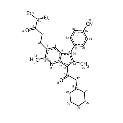 CCN(CC)C(=O)CCc1cc2c(nc1C)c(C(=O)CN1CCCCC1)c(C)n2-c1ccc(C#N)cc1